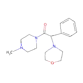 CN1CCN(C(=O)C(c2ccccc2)N2CCOCC2)CC1